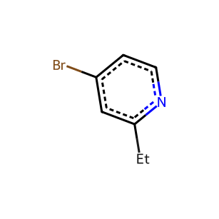 CCc1cc(Br)ccn1